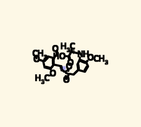 COc1cc(C=O)c(/C=C/S(=O)(=O)Cc2ccc(OC)c(N[C@H](C)C(=O)O)c2)c(OC)c1